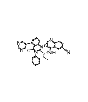 CCC(Nc1ncnc2ccc(C#N)cc12)c1nc2cccc(-c3cncnc3)c2c(=O)n1-c1ccccc1